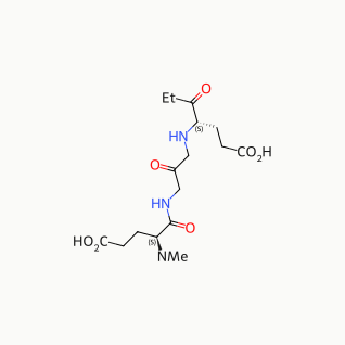 CCC(=O)[C@H](CCC(=O)O)NCC(=O)CNC(=O)[C@H](CCC(=O)O)NC